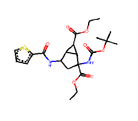 CCOC(=O)C1C2C(NC(=O)c3cccs3)CC(NC(=O)OC(C)(C)C)(C(=O)OCC)C12